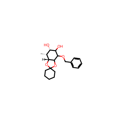 C[C@@H]1[C@H](O)C(O)C(OCc2ccccc2)C2OC3(CCCCC3)O[C@@H]21